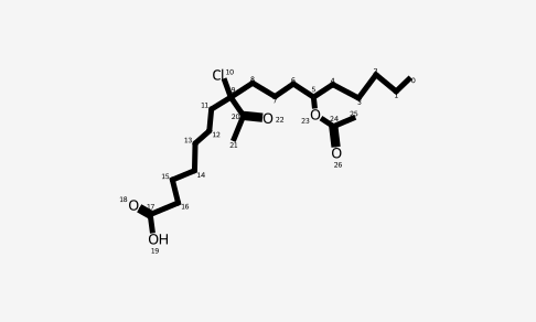 CCCCCC(CCCC(Cl)(CCCCCCC(=O)O)C(C)=O)OC(C)=O